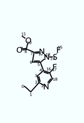 CCc1cc(-c2cc(C(=O)OC)nn2SF)c(F)cn1